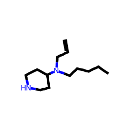 C=CCN(CCCCC)C1CCNCC1